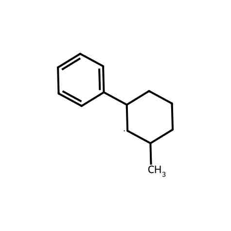 CC1[CH]C(c2ccccc2)CCC1